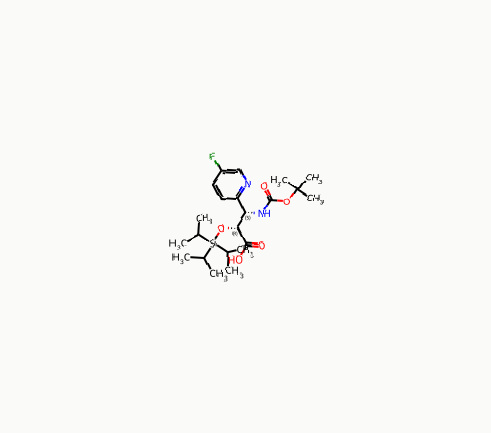 CC(C)[Si](O[C@@H](C(=O)O)[C@@H](NC(=O)OC(C)(C)C)c1ccc(F)cn1)(C(C)C)C(C)C